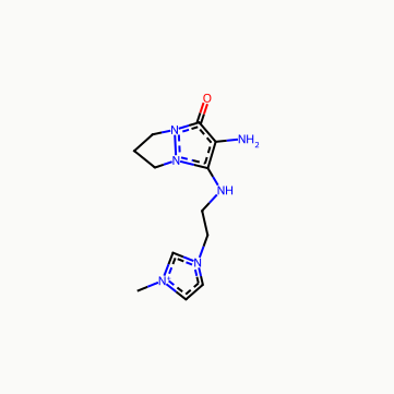 C[n+]1ccn(CCNc2c(N)c(=O)n3n2CCC3)c1